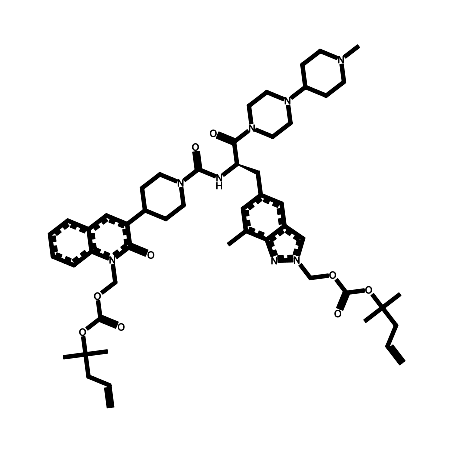 C=CCC(C)(C)OC(=O)OCn1cc2cc(C[C@@H](NC(=O)N3CCC(c4cc5ccccc5n(COC(=O)OC(C)(C)CC=C)c4=O)CC3)C(=O)N3CCN(C4CCN(C)CC4)CC3)cc(C)c2n1